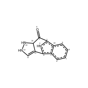 O=C1c2[nH]c(c3ccccc23)C2=CNNC12